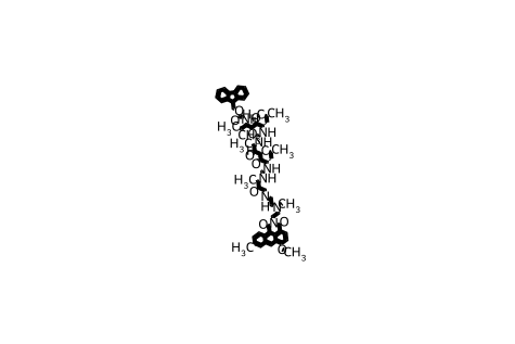 COc1ccc2c3c(c4ccc(C)cc4cc13)C(=O)N(CCN(C)CCNCC(=O)[C@H](C)NCN[C@@H](CC(C)C)C(=O)CC(=O)[C@H](C)NCN[C@@H](CC(C)C)C(=O)C(=O)[C@@H](NC(=O)OCC1c3ccccc3-c3ccccc31)C(C)C)C2=O